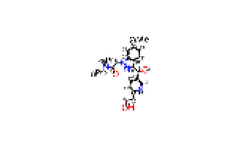 CCCN(CCC)C(=O)Cn1nc(C(=O)c2ccc(CCO)nc2)c2ccc(OC)cc21